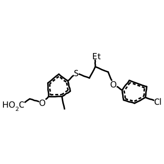 CCC(COc1ccc(Cl)cc1)CSc1ccc(OCC(=O)O)c(C)c1